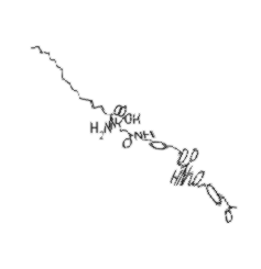 CCCCCCCCCCCCCCCCCC(=O)N(N)C(CCC(=O)NCCOCCOCC(=O)NCCOCCOCC(C)=O)C(=O)O